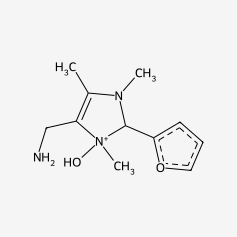 CC1=C(CN)[N+](C)(O)C(c2ccco2)N1C